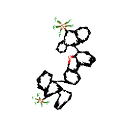 FS(F)(F)(F)(F)c1c2ccccc2c(-c2ccc3c(c2)oc2c(-c4c5ccccc5c(S(F)(F)(F)(F)F)c5ccccc45)cccc23)c2ccccc12